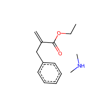 C=C(Cc1ccccc1)C(=O)OCC.CNC